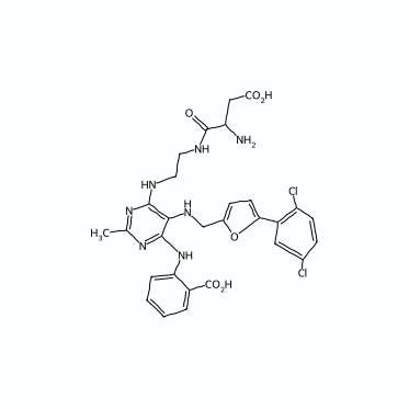 Cc1nc(NCCNC(=O)C(N)CC(=O)O)c(NCc2ccc(-c3cc(Cl)ccc3Cl)o2)c(Nc2ccccc2C(=O)O)n1